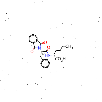 C=CCCC(NC(=O)[C@H](Cc1ccccc1)N1C(=O)c2ccccc2C1=O)C(=O)O